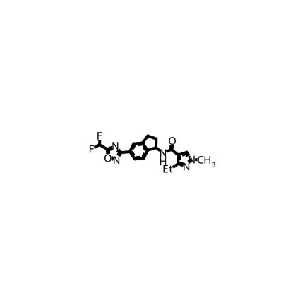 CCc1nn(C)cc1C(=O)NC1CCc2cc(-c3noc(C(F)F)n3)ccc21